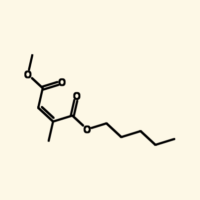 CCCCCOC(=O)/C(C)=C\C(=O)OC